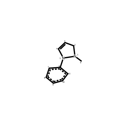 CN1[CH]C=CN1c1ccccc1